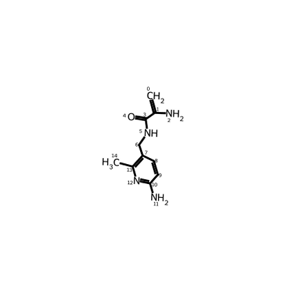 C=C(N)C(=O)NCc1ccc(N)nc1C